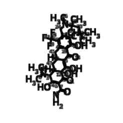 CN(C)[C@@H]1C(O)=C(C(N)=O)C(=O)[C@@]2(O)C(O)=C3C(=O)c4c(O)cc(CN(C)C(C)(C)CC(C)(C)C)c(C(F)(F)F)c4C[C@H]3C[C@@H]12